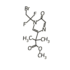 COC(=O)C(C)(C)c1cn(C(F)(F)CBr)c(=O)cn1